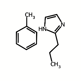 CCCc1ncc[nH]1.Cc1ccccc1